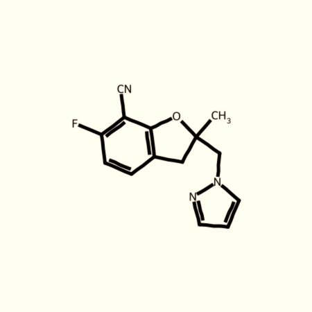 CC1(Cn2cccn2)Cc2ccc(F)c(C#N)c2O1